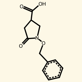 O=C(O)C1CC(=O)N(OCc2ccccc2)C1